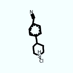 N#Cc1ccc(C2CC[SiH](Cl)CC2)cc1